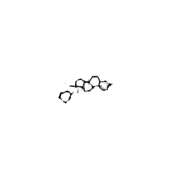 C[C@]12CCC(=O)CC1CC[C@@H]1[C@H]2CC[C@@]2(C)[C@H]1CCC2(NC1CCCCC1)C(=O)O